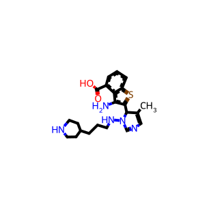 CC1=CN=CN(NCCCC2CCNCC2)C1c1sc2cccc(C(=O)O)c2c1N